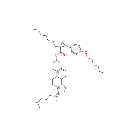 CCCCCCCC1(C(=O)OC2CC[C@@]3(C)C(=CCC4C3CC[C@@]3(C)C4CC[C@@H]3[C@H](C)CCCC(C)C)C2)CC1c1ccc(OCCCCCC)cc1